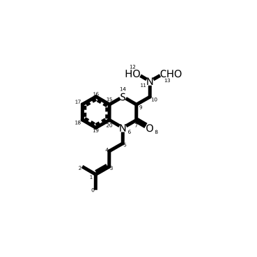 CC(C)=CCCN1C(=O)C(CN(O)C=O)Sc2ccccc21